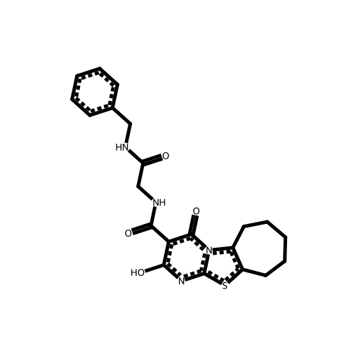 O=C(CNC(=O)c1c(O)nc2sc3c(n2c1=O)CCCCC3)NCc1ccccc1